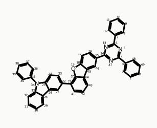 c1ccc(-c2nc(-c3ccccc3)nc(-c3ccc4oc5c(-c6ccc7c(c6)c6ccccc6n7-c6ccccc6)cccc5c4c3)n2)cc1